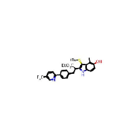 CCOC(=O)C(Cc1ccc(-c2ccc(C(F)(F)F)cn2)cc1)c1[nH]c2ccc(O)c(C)c2c1SC(C)(C)C